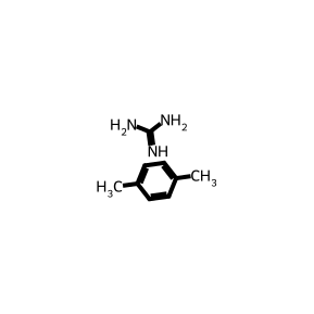 Cc1ccc(C)cc1.N=C(N)N